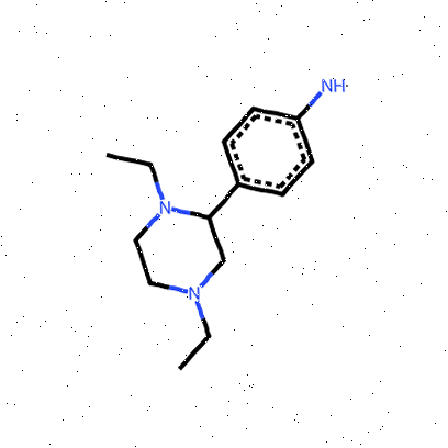 CCN1CCN(CC)C(c2ccc([NH])cc2)C1